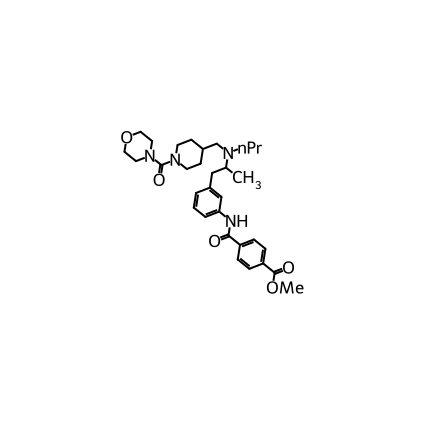 CCCN(CC1CCN(C(=O)N2CCOCC2)CC1)C(C)Cc1cccc(NC(=O)c2ccc(C(=O)OC)cc2)c1